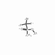 CCOP(C)(=O)C(F)(F)Br